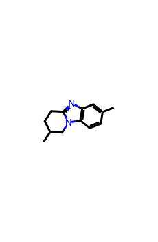 Cc1ccc2c(c1)nc1n2CC(C)CC1